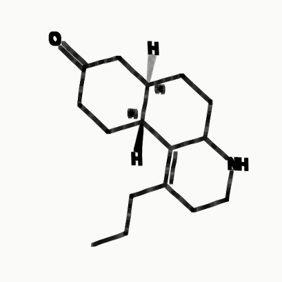 CCCC1=C2C(CC[C@@H]3CC(=O)CC[C@@H]23)NCC1